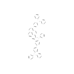 c1ccc(N(c2ccccc2)c2ccc(-c3ccc4ccc5cc6c7cc(-c8ccc9c(c8)c8ccccc8n9-c8ccccc8)ccc7n(-c7ccccc7)c6c6ccc3c4c56)cc2)cc1